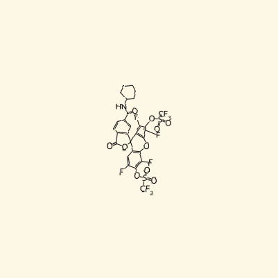 O=C(NC1CCCCC1)c1ccc2c(c1)C1(OC2=O)c2cc(F)c(OS(=O)(=O)C(F)(F)F)c(F)c2Oc2c1cc(F)c(OS(=O)(=O)C(F)(F)F)c2F